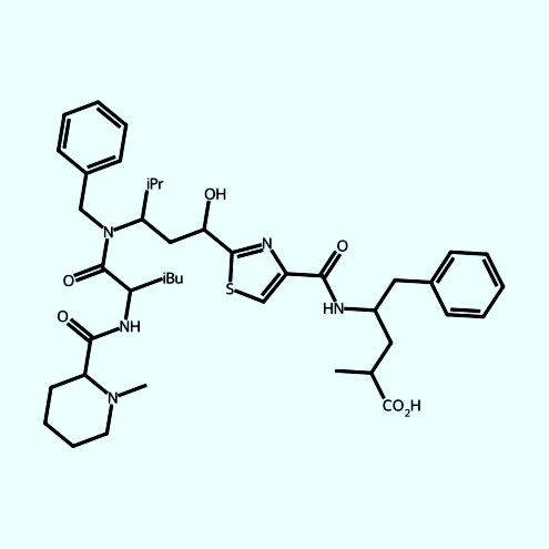 CCC(C)C(NC(=O)C1CCCCN1C)C(=O)N(Cc1ccccc1)C(CC(O)c1nc(C(=O)NC(Cc2ccccc2)CC(C)C(=O)O)cs1)C(C)C